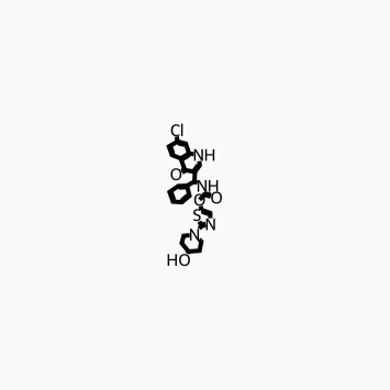 O=C(NC(c1ccccc1)c1c[nH]c2cc(Cl)ccc2c1=O)Oc1cnc(N2CCC(O)CC2)s1